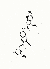 Cc1ccc2c(N)c(C(=O)N[C@H]3CCc4cc(NCC5CNCC(C)O5)c(C#N)cc4C3)sc2n1